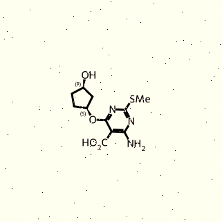 CSc1nc(N)c(C(=O)O)c(O[C@H]2CC[C@@H](O)C2)n1